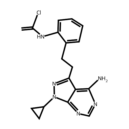 C=C(Cl)Nc1ccccc1CCc1nn(C2CC2)c2ncnc(N)c12